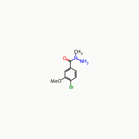 COc1cc(C(=O)N(C)N)ccc1Br